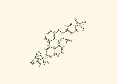 COC(=O)C(Cc1cccc(-c2cc(C(C)(C)S(C)(=O)=O)cc3cccnc23)c1)c1ccc(S(C)(=O)=O)cc1